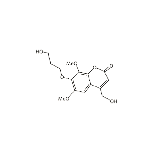 COc1cc2c(CO)cc(=O)oc2c(OC)c1OCCCO